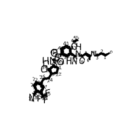 CCC/C=N/C(C)=C/C(=O)NC(=N)c1cc(S(=O)(=O)NC2CCC(CCc3ccc(C#N)c(C(F)(F)F)c3)C2=O)ccc1OCC